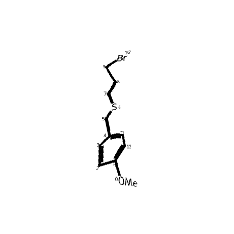 COc1ccc(CSCCCBr)cc1